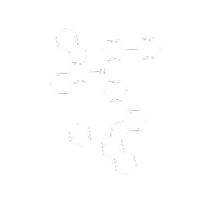 c1ccc(-c2cccc(N(c3ccc(-c4cccc5c4sc4c(-c6ccccc6)cc6ccccc6c45)cc3)c3cc4ccccc4c4c3oc3ccccc34)c2)cc1